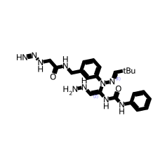 CC(C)(C)/C=N/N(/C(=C\NN)NC(=O)Nc1ccccc1)c1cccc(CNC(=O)CNN=N)c1